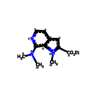 CCOC(=O)c1cc2ccnc(N(C)C)c2n1C